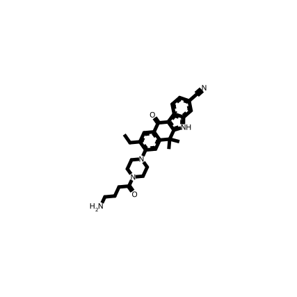 CCc1cc2c(cc1N1CCN(C(=O)CCCN)CC1)C(C)(C)c1[nH]c3cc(C#N)ccc3c1C2=O